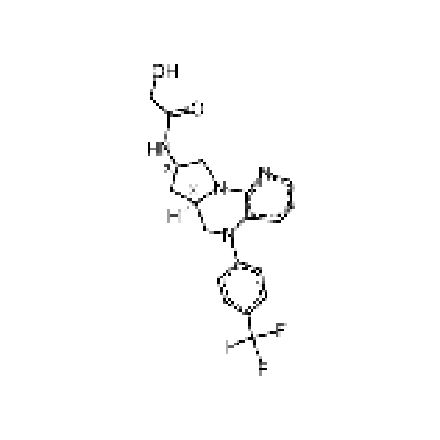 O=C(CO)N[C@@H]1C[C@@H]2CN(c3ccc(C(F)(F)F)cc3)c3cccnc3N2C1